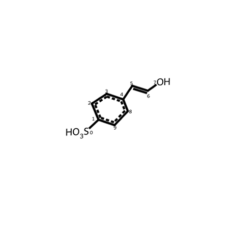 O=S(=O)(O)c1ccc(C=CO)cc1